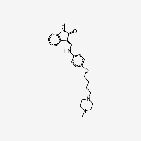 CN1CCN(CCCCOc2ccc(N/C=C3/C(=O)Nc4ccccc43)cc2)CC1